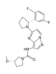 CO[C@H]1CCN(C(=O)Nc2cnn3ccc(N4CCC[C@@H]4c4cc(F)ccc4F)nc23)C1